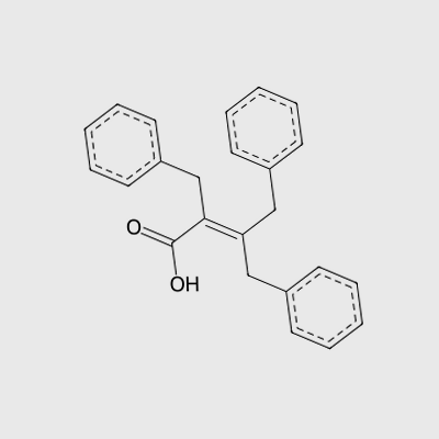 O=C(O)C(Cc1ccccc1)=C(Cc1ccccc1)Cc1ccccc1